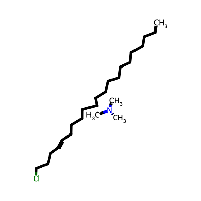 CCCCCCCCCCCCCCCCC=CCCCCl.CN(C)C